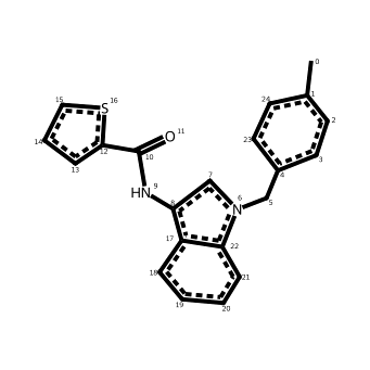 Cc1ccc(Cn2cc(NC(=O)c3cccs3)c3ccccc32)cc1